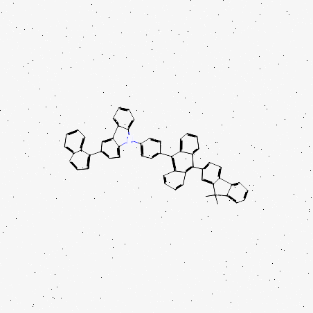 CC1(C)c2ccccc2-c2ccc(-c3c4ccccc4c(-c4ccc(-n5c6ccccc6c6cc(-c7cccc8ccccc78)ccc65)cc4)c4ccccc34)cc21